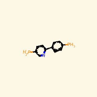 Pc1ccc(-c2ccc(P)cn2)cc1